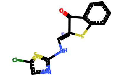 O=C1/C(=C/Nc2ncc(Cl)s2)Sc2ccccc21